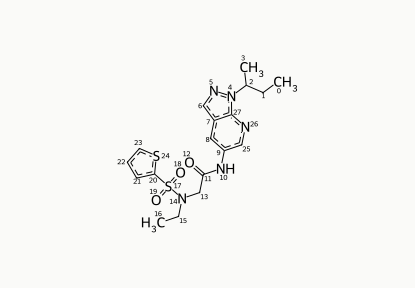 CCC(C)n1ncc2cc(NC(=O)CN(CC)S(=O)(=O)c3cccs3)cnc21